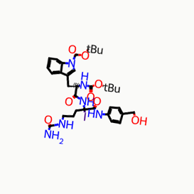 CC(C)(C)OC(=O)N[C@H](Cc1cn(C(=O)OC(C)(C)C)c2ccccc12)C(=O)NC(I)(CCCNC(N)=O)C(=O)Nc1ccc(CO)cc1